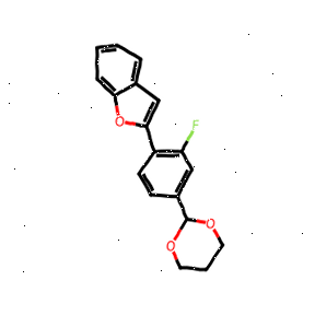 Fc1cc(C2OCCCO2)ccc1-c1cc2ccccc2o1